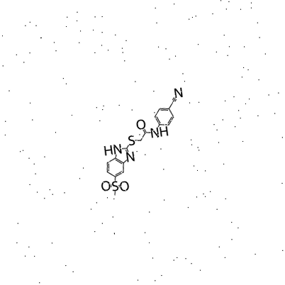 CS(=O)(=O)c1ccc2[nH]c(SCC(=O)Nc3ccc(C#N)cc3)nc2c1